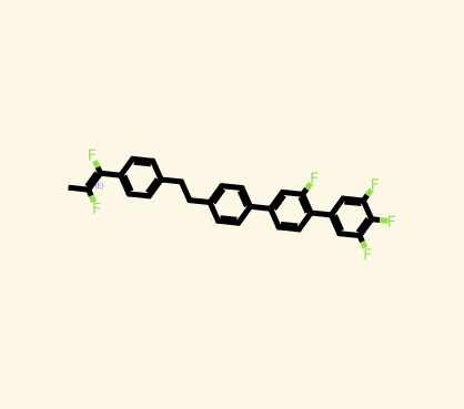 C/C(F)=C(\F)c1ccc(CCc2ccc(-c3ccc(-c4cc(F)c(F)c(F)c4)c(F)c3)cc2)cc1